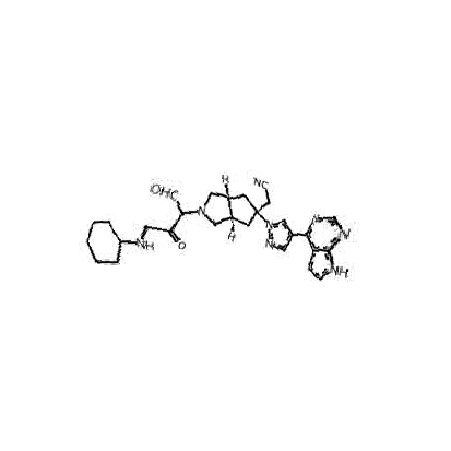 N#CC[C@]1(n2cc(-c3ncnc4[nH]ccc34)cn2)C[C@H]2CN(C(C=O)C(=O)CNC3CCCCC3)C[C@H]2C1